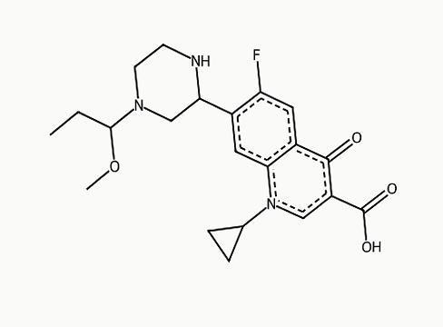 CCC(OC)N1CCNC(c2cc3c(cc2F)c(=O)c(C(=O)O)cn3C2CC2)C1